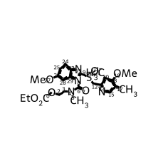 CCOC(=O)OCCN(C)C(=O)n1c([S@@+]([O-])Cc2ncc(C)c(OC)c2C)nc2ccc(OC)cc21